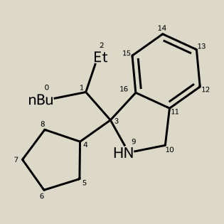 CCCCC(CC)C1(C2CCCC2)NCc2ccccc21